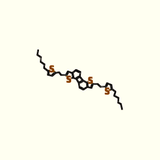 CCCCCCc1ccc(CCc2cc3ccc4c(c3s2)-c2ccc3cc(CCc5ccc(CCCCCC)s5)sc3c2-4)s1